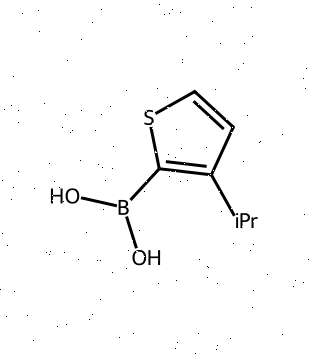 CC(C)c1ccsc1B(O)O